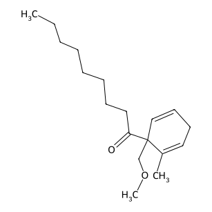 CCCCCCCCC(=O)C1(COC)C=CCC=C1C